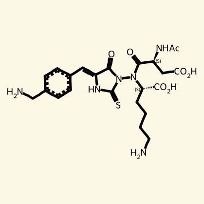 CC(=O)N[C@@H](CC(=O)O)C(=O)N([C@@H](CCCCN)C(=O)O)N1C(=O)C(=Cc2ccc(CN)cc2)NC1=S